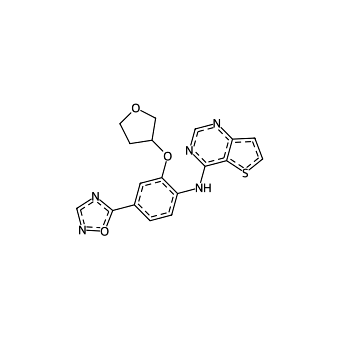 c1noc(-c2ccc(Nc3ncnc4ccsc34)c(OC3CCOC3)c2)n1